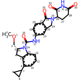 COC[C@H]1Cc2c(C3CC3)cccc2N1C(=O)Nc1ccc2c(c1)CN(C1CCC(=O)NC1=O)C2=O